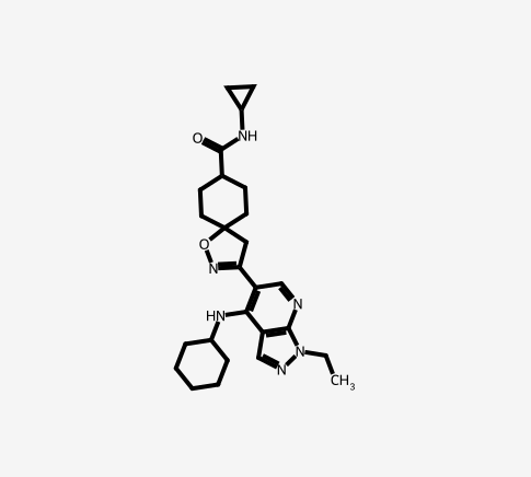 CCn1ncc2c(NC3CCCCC3)c(C3=NOC4(CCC(C(=O)NC5CC5)CC4)C3)cnc21